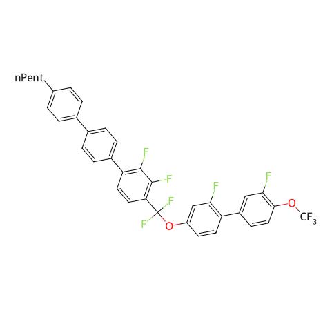 CCCCCc1ccc(-c2ccc(-c3ccc(C(F)(F)Oc4ccc(-c5ccc(OC(F)(F)F)c(F)c5)c(F)c4)c(F)c3F)cc2)cc1